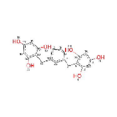 Oc1cc(O)c(Cc2cccc(Cc3c(O)cc(O)cc3O)c2)c(O)c1